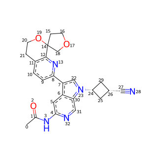 CC(=O)Nc1cc2c(-c3ccc4c(n3)C3(CCOC3)OCC4)cn([C@H]3C[C@@H](C#N)C3)c2cn1